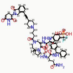 NC(=O)CCC(NC(=O)[C@@H]1CC[C@@H]2CCN(C(=O)CCCN3CCC(C#Cc4cccc5c4CN(C4CCC(=O)NC4=O)C5=O)CC3)C[C@H](NC(=O)c3cc4cc(C(F)(F)P(=O)(O)O)ccc4[nH]3)C(=O)N21)C(=O)NC(c1ccccc1)c1ccccc1